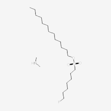 CCCCCCCCCCCCCOS(=O)(=O)CCCCCCCF.CNC